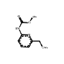 COCc1cccc(NC(=O)OC(C)(C)C)n1